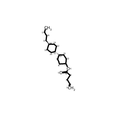 C=CCCC(=O)OC1CCC([C@H]2CC[C@H](CCCC)CC2)CC1